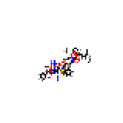 CC(C)(C)OC(=O)N1CCC(Oc2c(C(=O)NNC(=O)C(O)c3ccccc3)sc3ccccc23)CC1